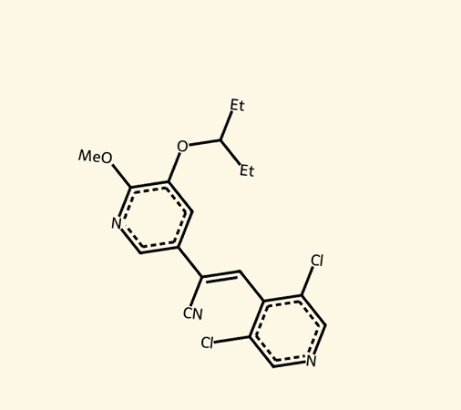 CCC(CC)Oc1cc(C(C#N)=Cc2c(Cl)cncc2Cl)cnc1OC